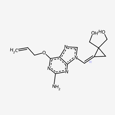 C=CCOc1nc(N)nc2c1ncn2/C=C1/CC1(CO)CO